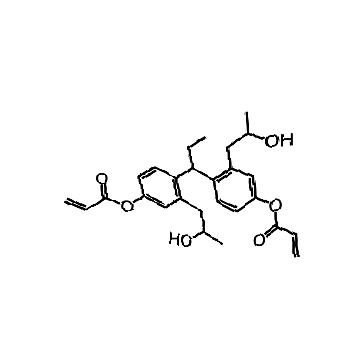 C=CC(=O)Oc1ccc(C(CC)c2ccc(OC(=O)C=C)cc2CC(C)O)c(CC(C)O)c1